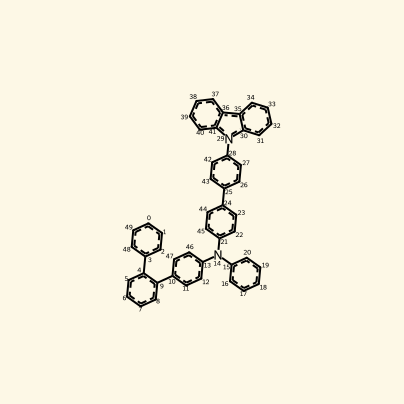 c1ccc(-c2ccccc2-c2ccc(N(c3ccccc3)c3ccc(-c4ccc(-n5c6ccccc6c6ccccc65)cc4)cc3)cc2)cc1